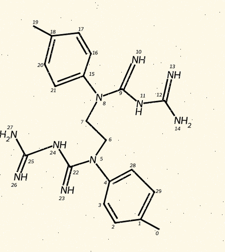 Cc1ccc(N(CCN(C(=N)NC(=N)N)c2ccc(C)cc2)C(=N)NC(=N)N)cc1